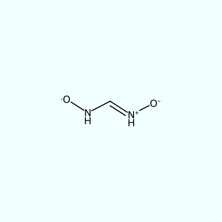 [O]NC=[NH+][O-]